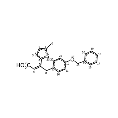 Cc1cnc(C(=CC(=O)O)Cc2ccc(OCc3ccccc3)cc2)s1